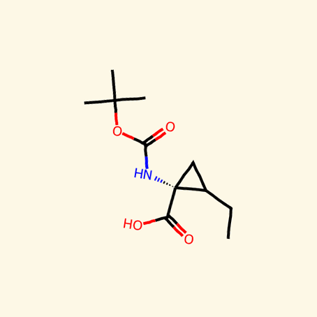 CCC1C[C@]1(NC(=O)OC(C)(C)C)C(=O)O